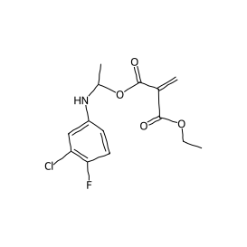 C=C(C(=O)OCC)C(=O)OC(C)Nc1ccc(F)c(Cl)c1